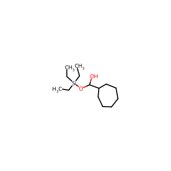 CC[Si](CC)(CC)OC(O)C1CCCCCC1